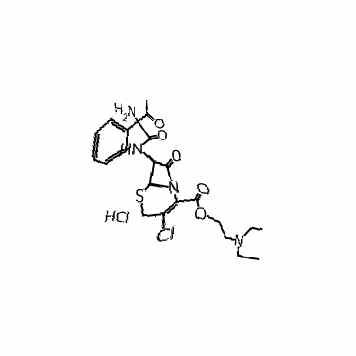 CCN(CC)CCOC(=O)C1=C(Cl)CSC2C(NC(=O)C(N)(C(C)=O)c3ccccc3)C(=O)N12.Cl